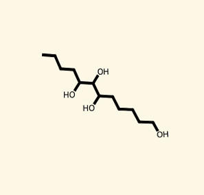 CCCCC(O)C(O)C(O)CCCCCO